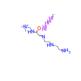 C[N+](C)(C)CNC(=O)C=NCCNCCN.I.I.I.I.I.[I-]